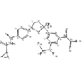 C[C@H](NC(=O)C1CC1)c1ccc(N2CCC(c3cc(C(F)C(F)F)nc(C(F)C(F)F)c3)(C(F)(F)F)C2)cc1